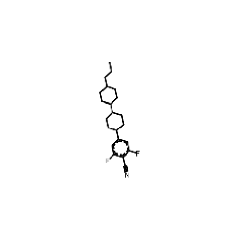 CCCC1CCC(C2CCC(c3cc(F)c(C#N)c(F)c3)CC2)CC1